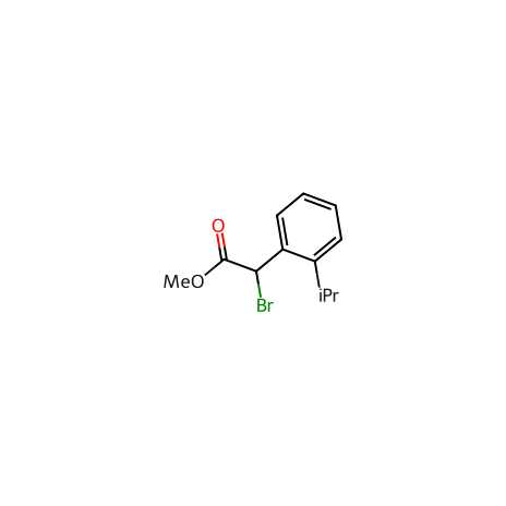 COC(=O)C(Br)c1ccccc1C(C)C